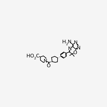 CC1(C)Oc2ncnc(N)c2N=C1c1ccc([C@H]2CC[C@H](C(=O)N3CCC(C(=O)O)CC3)CC2)cc1